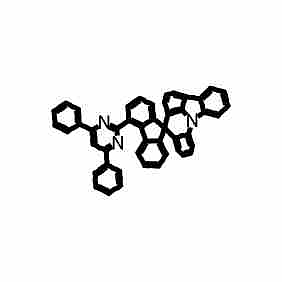 c1ccc(-c2cc(-c3ccccc3)nc(-c3cccc4c3-c3ccccc3C43c4ccccc4-n4c5ccccc5c5cccc3c54)n2)cc1